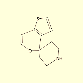 C1=Cc2sccc2C2(CCNCC2)O1